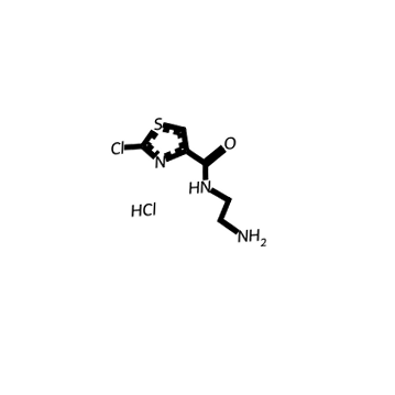 Cl.NCCNC(=O)c1csc(Cl)n1